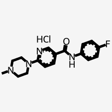 CN1CCN(c2ccc(C(=O)Nc3ccc(F)cc3)cn2)CC1.Cl